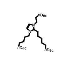 CCCCCCCCCCCCCCCC1N(CCCCCCCCCCCC)C=CN1CCCCCCCCCCCCCC